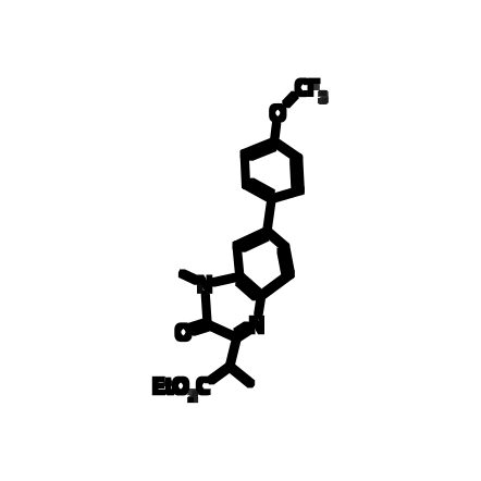 CCOC(=O)C(C)c1nc2ccc(-c3ccc(OC(F)(F)F)cc3)cc2n(C)c1=O